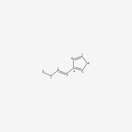 CC/C=C/C1=CCC=C1